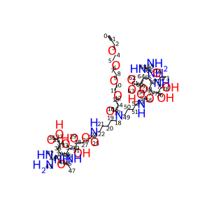 C#CCOCCOCCOCCOCCC(=O)N(CCCCCNC(=O)OC[C@@H](O)[C@@H](O)[C@@H]1OC(C(=O)O)=C[C@H](NC(=N)N)[C@H]1NC(C)=O)CCCCNC(=O)O[C@@H]([C@@H]1OC(C(=O)O)=C[C@H](NC(=N)N)[C@H]1NC(C)=O)[C@H](O)CO